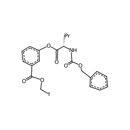 CC(C)[C@H](NC(=O)OCc1ccccc1)C(=O)Oc1cccc(C(=O)OCI)c1